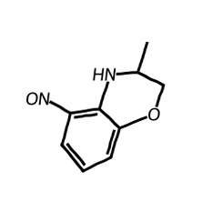 CC1COc2cccc(N=O)c2N1